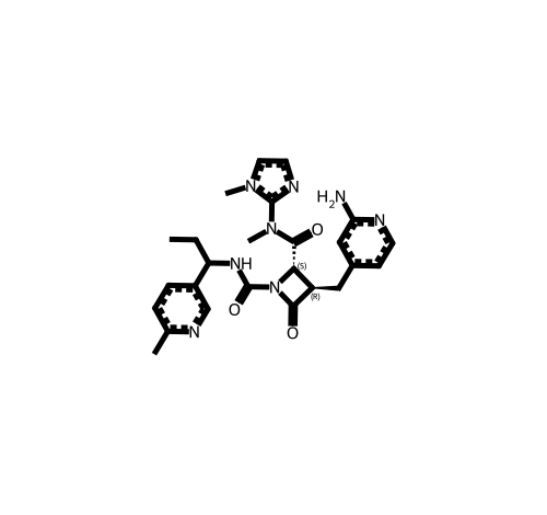 CCC(NC(=O)N1C(=O)[C@H](Cc2ccnc(N)c2)[C@H]1C(=O)N(C)c1nccn1C)c1ccc(C)nc1